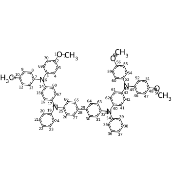 COc1ccc(N(c2ccc(C)cc2)c2ccc(N(c3ccccc3)c3ccc(-c4ccc(N(c5ccccc5)c5ccc(N(c6ccc(OC)cc6)c6ccc(OC)cc6)cc5)cc4)cc3)cc2)cc1